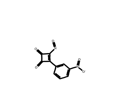 O=Nc1c(-c2cccc([N+](=O)[O-])c2)c(=O)c1=O